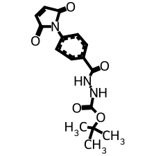 CC(C)(C)OC(=O)NNC(=O)c1ccc(N2C(=O)C=CC2=O)cc1